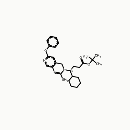 CC(C)(C)OC(=O)CC[C@@H](C1CCCCC1)N1Cc2cc(Oc3ccccc3)ncc2N=C1N